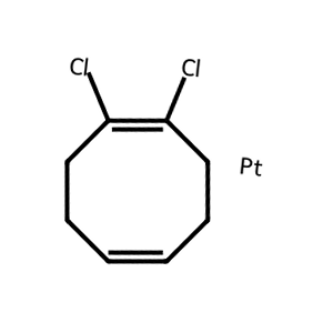 Cl/C1=C(\Cl)CC/C=C\CC1.[Pt]